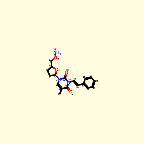 Cc1cn([C@H]2CC[C@@H](CON)O2)c(=O)n(C=Cc2ccccc2)c1=O